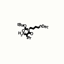 CCCCCCCCCCCCCCN(C(=O)OC(C)(C)C)C(=O)C(N)C(C)C